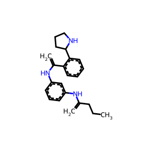 C=C(CCC)Nc1cccc(NC(=C)c2ccccc2C2CCCN2)c1